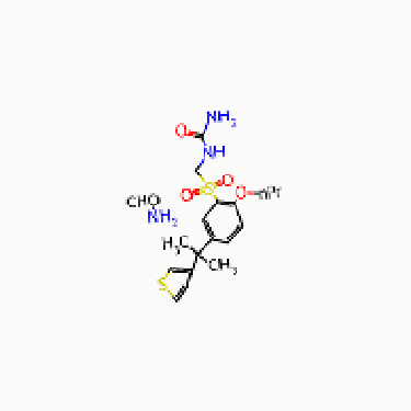 CCCOc1ccc(C(C)(C)c2ccsc2)cc1S(=O)(=O)CNC(N)=O.NC=O